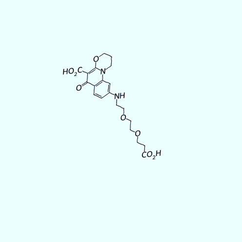 O=C(O)CCOCCOCCNc1ccc2c(=O)c(C(=O)O)c3n(c2c1)CCCO3